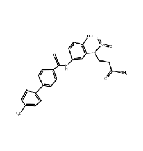 NC(=O)CCN(c1cc(NC(=O)c2ccc(-c3ccc(C(F)(F)F)cc3)cc2)ccc1O)[SH](=O)=O